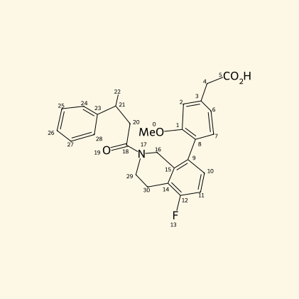 COc1cc(CC(=O)O)ccc1-c1ccc(F)c2c1CN(C(=O)CC(C)c1ccccc1)CC2